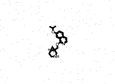 CC(C)Oc1ccc2ccnc(OCC34CNCC[C@H]3C4)c2c1